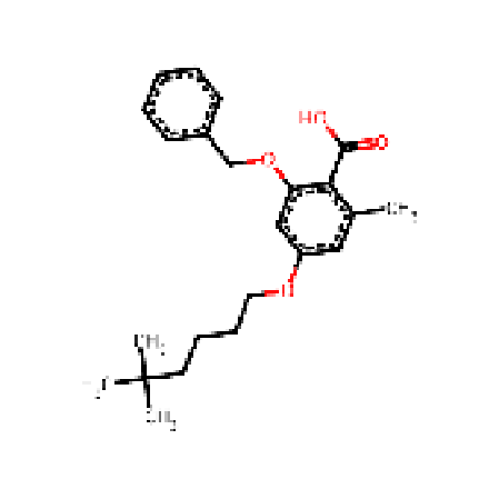 Cc1cc(OCCCCC(C)(C)C)cc(OCc2ccccc2)c1C(=O)O